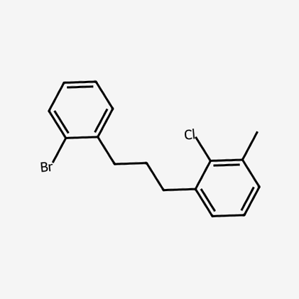 Cc1cccc(CCCc2ccccc2Br)c1Cl